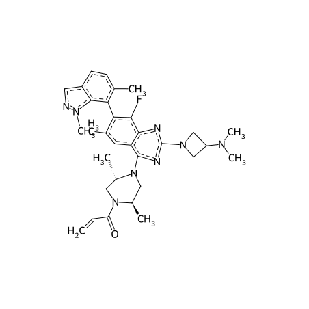 C=CC(=O)N1C[C@H](C)N(c2nc(N3CC(N(C)C)C3)nc3c(F)c(-c4c(C)ccc5cnn(C)c45)c(C)cc23)C[C@H]1C